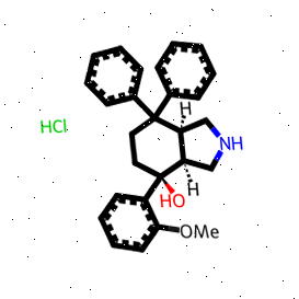 COc1ccccc1[C@]1(O)CCC(c2ccccc2)(c2ccccc2)[C@H]2CNC[C@H]21.Cl